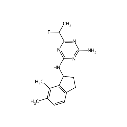 Cc1ccc2c(c1C)C(Nc1nc(N)nc(C(C)F)n1)CC2